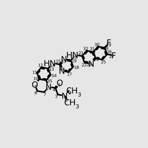 CN(C)CC(=O)N1CCOc2ccc(Nc3nccc(Nc4cnc5cc(F)c(F)cc5c4)n3)cc21